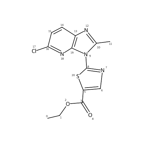 CCOC(=O)c1cnc(-n2c(C)nc3ccc(Cl)nc32)s1